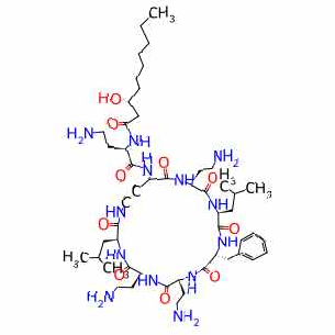 CCCCCCC[C@@H](O)CC(=O)N[C@H](CCN)C(=O)N[C@H]1CCNC(=O)[C@H](CC(C)C)NC(=O)[C@H](CCN)NC(=O)[C@H](CCN)NC(=O)[C@@H](Cc2ccccc2)NC(=O)[C@H](CC(C)C)NC(=O)[C@H](CCN)NC1=O